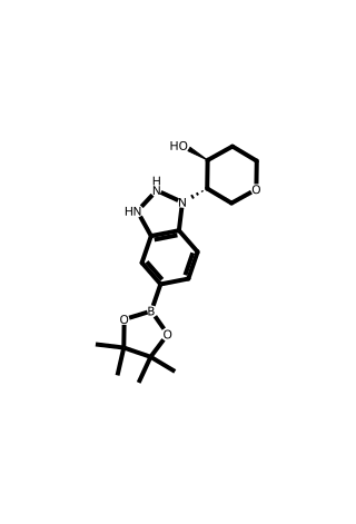 CC1(C)OB(c2ccc3c(c2)NNN3[C@H]2COCC[C@@H]2O)OC1(C)C